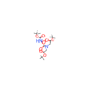 CC(C)(C)OC(=O)CN(CC(=O)OC(C)(C)C)C(=O)ONC(=O)OC(C)(C)C